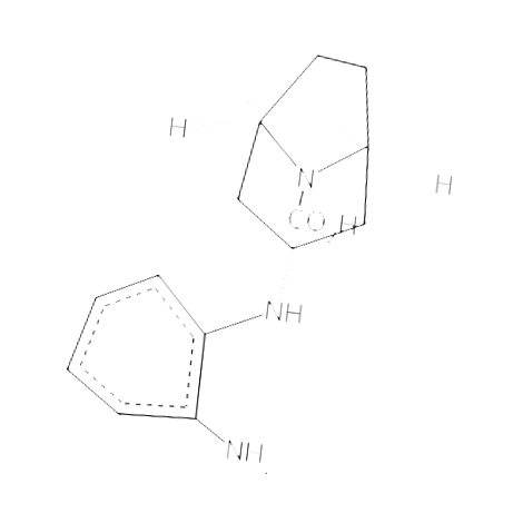 Nc1ccccc1N[C@@H]1C[C@H]2CC[C@@H](C1)N2C(=O)O